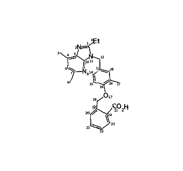 CCc1nc2c(C)cc(C)nc2n1Cc1ccc(OCc2ccccc2C(=O)O)c(C)c1